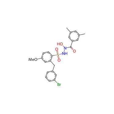 COc1ccc(S(=O)(=O)NN(O)C(=O)c2cc(C)cc(C)c2)c(Cc2cccc(Br)c2)c1